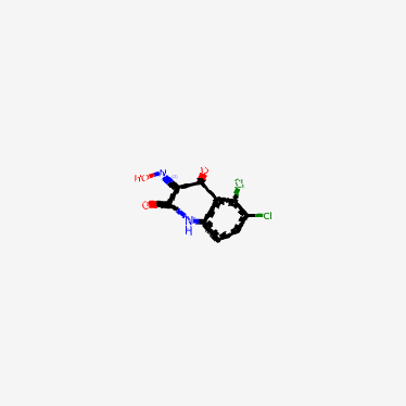 O=C1Nc2ccc(Cl)c(Cl)c2C(=O)/C1=N/O